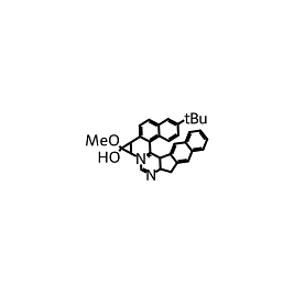 COC1(O)C2c3ccc4cc(C(C)(C)C)ccc4c3C3=[N+](C=NC4Cc5cc6ccccc6cc5C34)C21